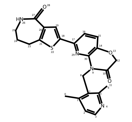 Cc1ccnc(C)c1CN1C(=O)COc2ccc(-c3cc4c(s3)CCCNC4=O)nc21